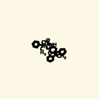 Cc1ccccc1N(C)C1(c2ccccc2)CCC2(CC1)CN(C(C)(C)c1ccccc1)C(=O)N2